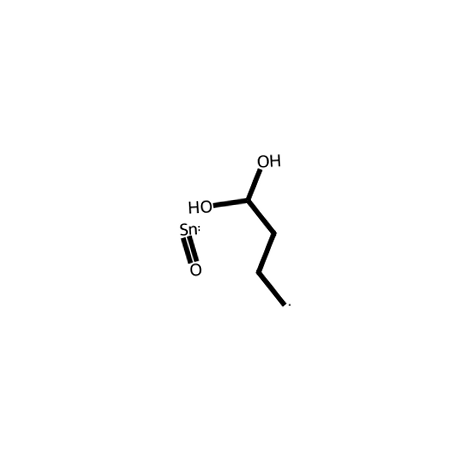 [CH2]CCC(O)O.[O]=[Sn]